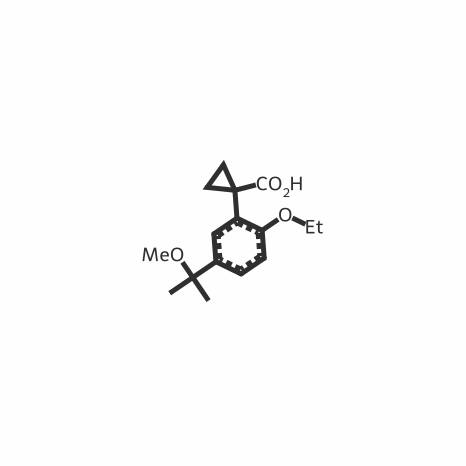 CCOc1ccc(C(C)(C)OC)cc1C1(C(=O)O)CC1